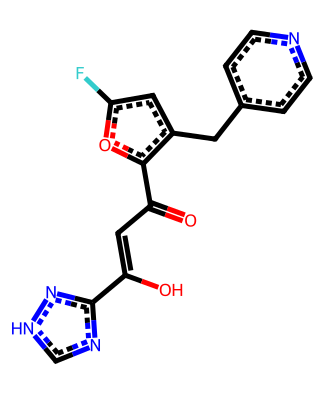 O=C(C=C(O)c1nc[nH]n1)c1oc(F)cc1Cc1ccncc1